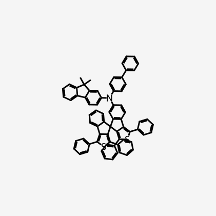 CC1(C)c2ccccc2-c2ccc(N(c3ccc(-c4ccccc4)cc3)c3ccc4c(c3)C3(c5ccccc5-c5c(-c6ccccc6)sc(-c6ccccc6)c53)c3c(-c5ccccc5)sc(-c5ccccc5)c3-4)cc21